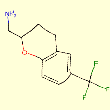 NCC1CCc2cc(C(F)(F)F)ccc2O1